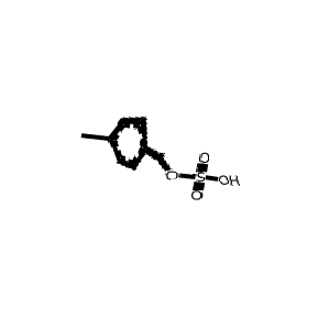 Cc1ccc(COS(=O)(=O)O)cc1